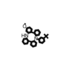 COc1ccc2c(c1)Nc1ccccc1-c1ccccc1N(c1cccc(C(C)(C)C)c1)c1ccccc1-2